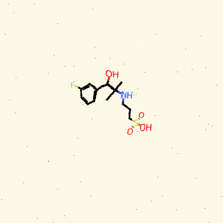 CC(C)(NCCCS(=O)(=O)O)C(O)c1cccc(F)c1